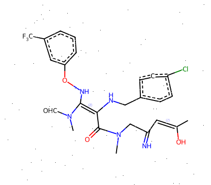 C/C(O)=C/C(=N)CN(C)C(=O)/C(NCc1ccc(Cl)cc1)=C(/NOc1cccc(C(F)(F)F)c1)N(C)C=O